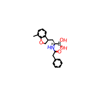 Cc1cccc2c1OCC2C[C@H](NC(=O)Cc1ccccc1)B(O)O